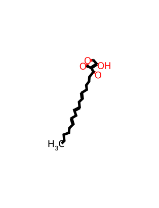 CCCCCC=CCC=CCC=CCCCCC(=O)C1=C(O)COC1=O